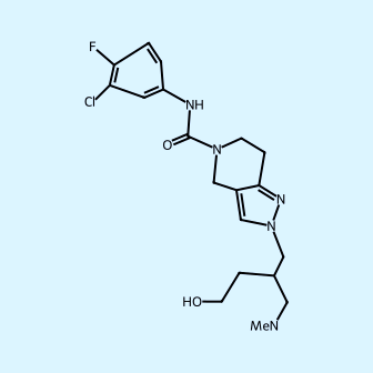 CNCC(CCO)Cn1cc2c(n1)CCN(C(=O)Nc1ccc(F)c(Cl)c1)C2